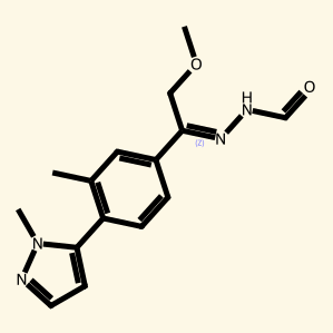 COC/C(=N\NC=O)c1ccc(-c2ccnn2C)c(C)c1